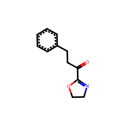 O=C(CCc1ccccc1)C1=NCCO1